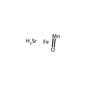 [Fe].[O]=[Mn].[SrH2]